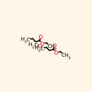 C=O.CCCC(=O)OCC.CCCC(=O)OCC